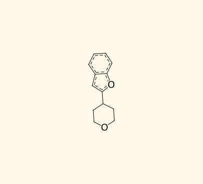 c1ccc2oc(C3CCOCC3)cc2c1